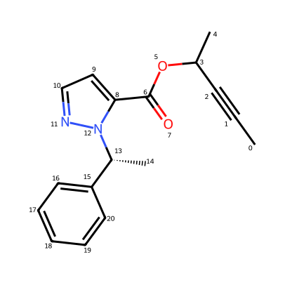 CC#CC(C)OC(=O)c1ccnn1[C@H](C)c1ccccc1